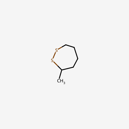 CC1CCCCSS1